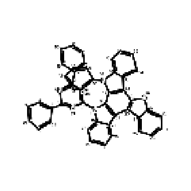 c1ccc(-c2nc(-c3ccccc3)nc(-n3c4ccccc4c4c5c6ccccc6oc5c5c6ccccc6n(-c6ccccc6)c5c43)n2)cc1